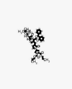 C=CCOC(=O)N1CC(N2CCC(=CC3=C(C(=O)OC(c4ccccc4)c4ccccc4)N4C(=O)[C@@H](NC(=O)OC(C)(C)C)[C@H]4SC3)C2=O)CN1C(=O)OCC=C